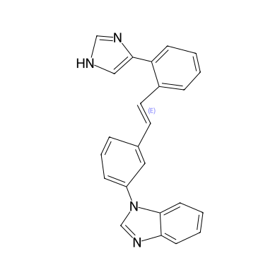 C(=C\c1ccccc1-c1c[nH]cn1)/c1cccc(-n2cnc3ccccc32)c1